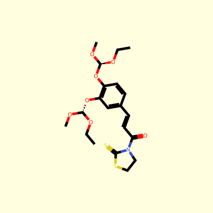 CCO[C@H](OC)Oc1ccc(/C=C/C(=O)N2CCSC2=S)cc1O[C@@H](OC)OCC